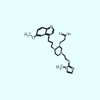 COc1ccc2nccc(CCC[C@@H]3CCN(CCSc4nccn4C)C[C@@H]3CCC(=O)O)c2c1